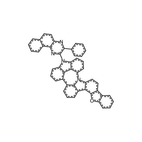 c1ccc(-c2nc3ccc4ccccc4c3nc2-n2c3cccc4c5cccc6c7c8oc9ccccc9c8ccc7n(c7cccc2c7c43)c56)cc1